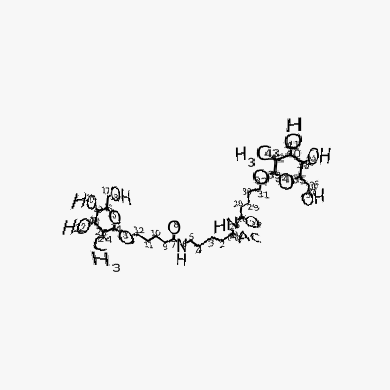 CC(=O)[C@@H](CCCCNC(=O)CCCCOC1OC(CO)C(O)[C@H](O)C1C)NC(=O)CCCCOC1OC(CO)C(O)C(O)C1C